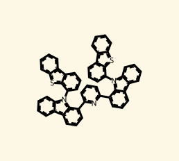 c1cc(-c2cccc3c4ccccc4n(-c4cccc5c4sc4ccccc45)c23)nc(-c2cccc3c4ccccc4n(-c4cccc5c4sc4ccccc45)c23)c1